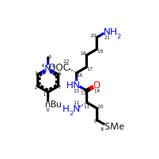 CCCCc1cc[n+](C)cc1.CSCC[C@H](N)C(=O)N[C@@H](CCCCN)C(=O)[O-]